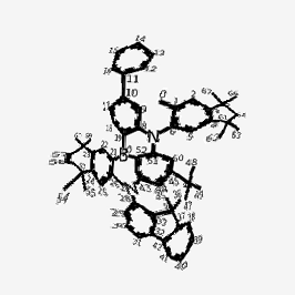 Cc1cc2c(cc1N1c3cc(-c4ccccc4)ccc3B3c4cc5c(cc4N(c4cccc6c4C(C)(C)c4ccccc4-6)c4cc(C(C)(C)C)cc1c43)C(C)(C)CCC5(C)C)C(C)(C)CC2(C)C